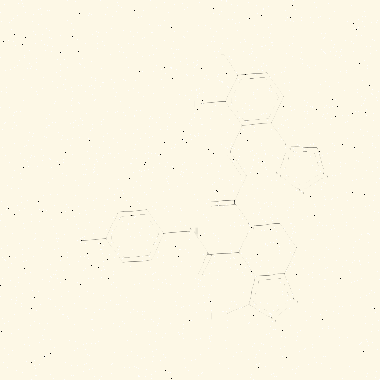 Cc1[nH]nc2c1C(C(=O)Nc1ccc(C(=O)O)cc1)N(C(=O)C=Cc1c(-n3cnnn3)ccc(Cl)c1F)CC2